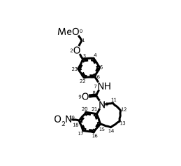 COCOc1ccc(NC(=O)N2CCCCc3ccc([N+](=O)[O-])cc32)cc1